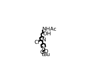 CC(=O)NC[C@H](O)Cc1cnc(C2=CCN(C(=O)OC(C)(C)C)CC2)c(Cl)c1